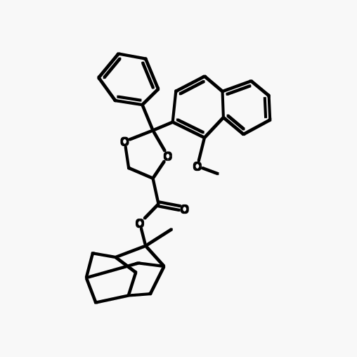 COc1c(C2(c3ccccc3)OCC(C(=O)OC3(C)C4CC5CC(C4)CC3C5)O2)ccc2ccccc12